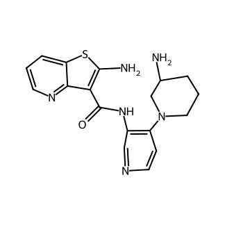 Nc1sc2cccnc2c1C(=O)Nc1cnccc1N1CCCC(N)C1